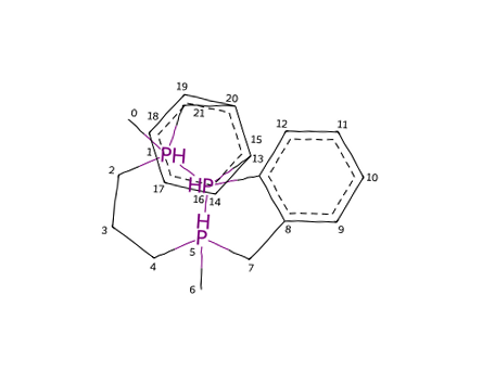 C[PH]12CCC[PH]3(C)Cc4ccccc4[PH]13c1ccccc1C2